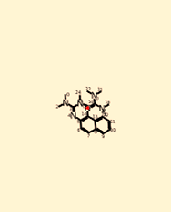 CN(C)C(=Nc1ccc2ccccc2c1N=C(N(C)C)N(C)C)N(C)C